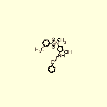 Cc1cccc(S(=O)(=O)N(C)C2C=CC(NCCOc3ccccc3)C2)c1.Cl